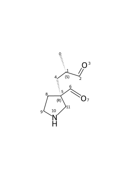 C[C@H](C=O)C[C@@]1(C=O)CCNC1